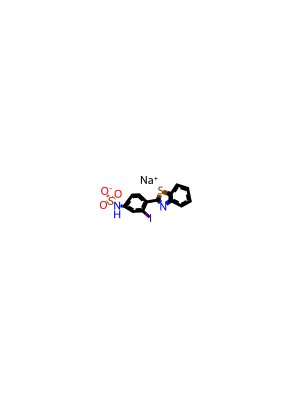 O=S(=O)([O-])Nc1ccc(-c2nc3ccccc3s2)c(I)c1.[Na+]